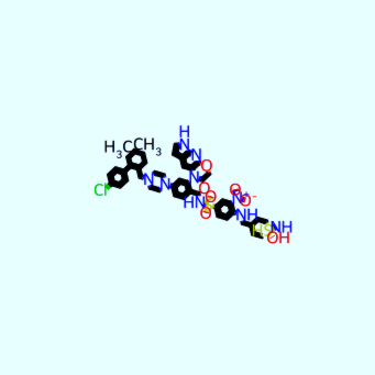 CC1(C)CCC(CN2CCN(c3ccc(C(=O)NS(=O)(=O)c4ccc(NCC5CC[SH](=N)(O)CC5)c([N+](=O)[O-])c4)c(N4CCOc5nc6[nH]ccc6cc54)c3)CC2)=C(c2ccc(Cl)cc2)C1